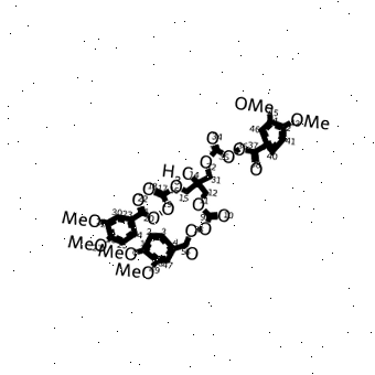 COc1ccc(C(=O)OOC(=O)OCC(C)(COC(=O)OOC(=O)c2ccc(OC)c(OC)c2)COC(=O)OOC(=O)c2ccc(OC)c(OC)c2)cc1OC